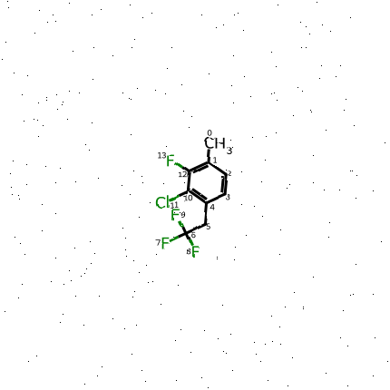 Cc1ccc(CC(F)(F)F)c(Cl)c1F